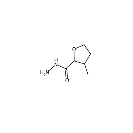 CC1CCOC1C(=O)NN